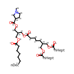 CCCCCCCCCCCCCCCC(=O)OCC(COC(=O)CCCCC(COC(=O)CCCCCCC)COC(=O)CCCCCCC)COC(=O)C1CCN(C)C1